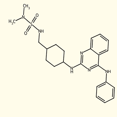 CN(C)S(=O)(=O)NCC1CCC(Nc2nc(Nc3ccccc3)c3ccccc3n2)CC1